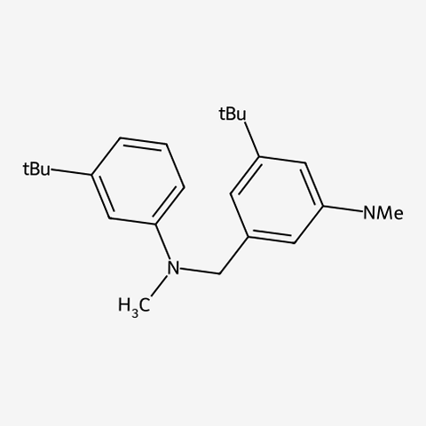 CNc1cc(CN(C)c2cccc(C(C)(C)C)c2)cc(C(C)(C)C)c1